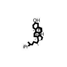 CC(C)C(C)CC[C@@H](C)[C@H]1CC[C@H]2[C@@H]3CC=C4CC(O)CC[C@]4(C)[C@H]3CC[C@]12C